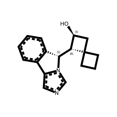 O[C@H]1CC2(CCC2)[C@@H]1[C@H]1c2ccccc2-c2cncn21